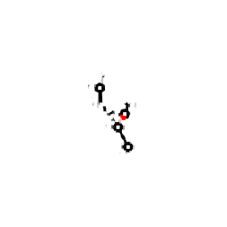 [2H]c1c([2H])c([2H])c(C#Cc2c([2H])c([2H])c([C@@H]3S[C@H](CC(=O)NC([2H])([2H])C([2H])([2H])c4ccc(OC([2H])([2H])[2H])c(OCC)c4)C(=O)N3c3cccc(C(N)=O)c3)c([2H])c2[2H])c([2H])c1[2H]